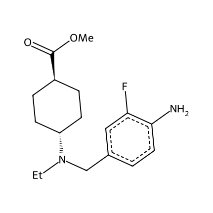 CCN(Cc1ccc(N)c(F)c1)[C@H]1CC[C@H](C(=O)OC)CC1